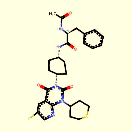 CC(=O)N[C@@H](Cc1ccccc1)C(=O)N[C@H]1CC[C@@H](n2c(=O)c3cc(F)cnc3n(C3CCSCC3)c2=O)CC1